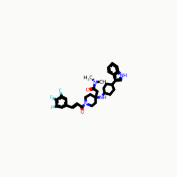 CN(C)C(=O)CC1(NC2CCC(c3c[nH]c4ccccc34)CC2)CCN(C(=O)C=Cc2cc(F)c(F)c(F)c2)CC1